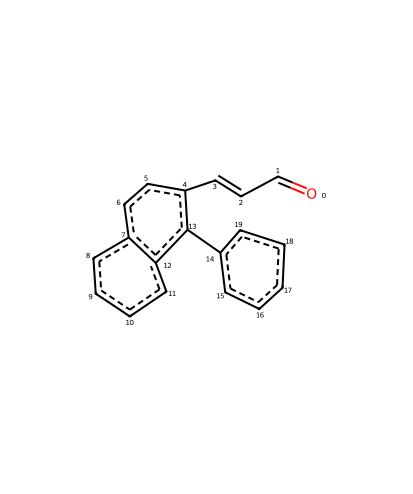 O=CC=Cc1ccc2ccccc2c1-c1ccccc1